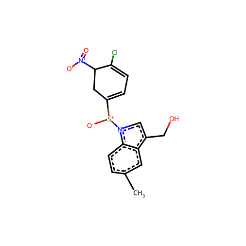 Cc1ccc2c(c1)c(CO)cn2[S+]([O-])C1=CC=C(Cl)C([N+](=O)[O-])C1